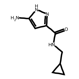 Nc1cc(C(=O)NCC2CC2)n[nH]1